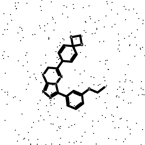 CCOc1cccc(-c2nnc3n2N=C(C2C=CC4(C=C2)OCO4)CS3)c1